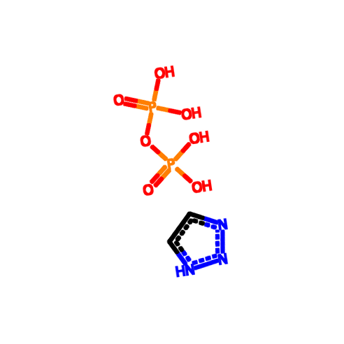 O=P(O)(O)OP(=O)(O)O.c1c[nH]nn1